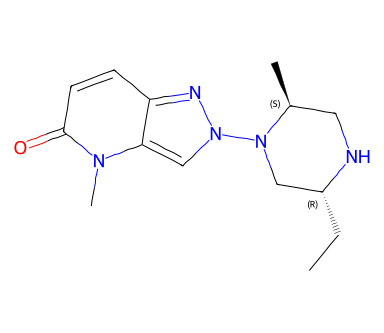 CC[C@@H]1CN(n2cc3c(ccc(=O)n3C)n2)[C@@H](C)CN1